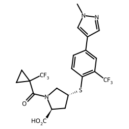 Cn1cc(-c2ccc(S[C@@H]3C[C@@H](C(=O)O)N(C(=O)C4(C(F)(F)F)CC4)C3)c(C(F)(F)F)c2)cn1